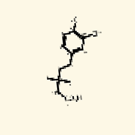 CC(C)(CCc1ccc(Cl)c(Cl)c1)CC(=O)O